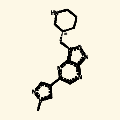 Cn1cc(-c2cnc3nnn(C[C@H]4CCCNC4)c3n2)cn1